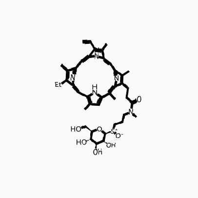 C=Cc1c(C)c2cc3nc(c(C)c4cc(C)c(cc5nc(cc1[nH]2)C(C)=C5CC)[nH]4)C(CCC(=O)N(C)CCC[S+]([O-])[C@@H]1O[C@H](CO)[C@@H](O)[C@H](O)[C@H]1O)=C3C